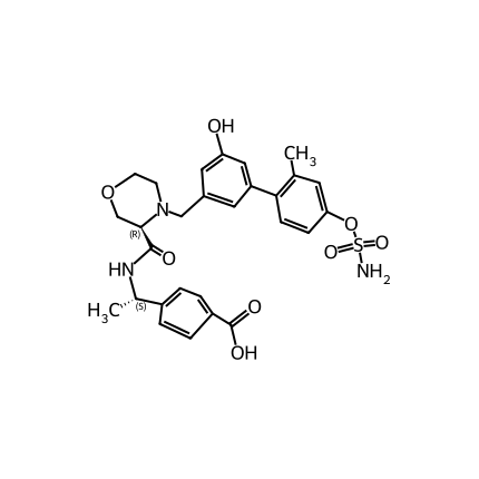 Cc1cc(OS(N)(=O)=O)ccc1-c1cc(O)cc(CN2CCOC[C@@H]2C(=O)N[C@@H](C)c2ccc(C(=O)O)cc2)c1